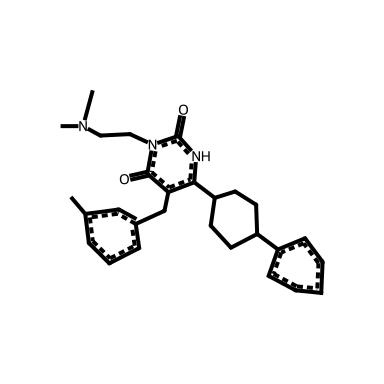 Cc1cccc(Cc2c(C3CCC(c4ccccc4)CC3)[nH]c(=O)n(CCN(C)C)c2=O)c1